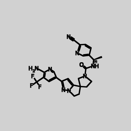 C[C@@H](NC(=O)N1CCC2(CCn3nc(-c4cnc(N)c(C(F)(F)F)c4)cc32)C1)c1ccc(C#N)nc1